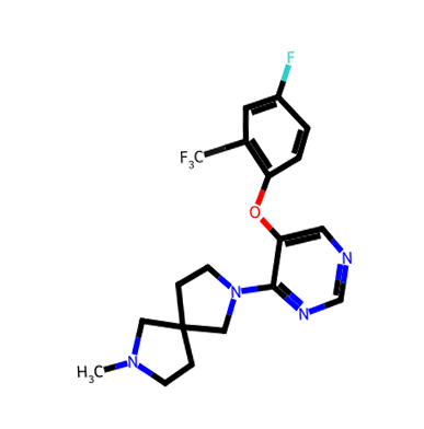 CN1CCC2(CCN(c3ncncc3Oc3ccc(F)cc3C(F)(F)F)C2)C1